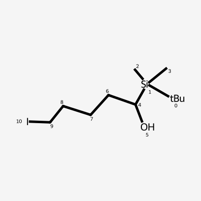 CC(C)(C)[Si](C)(C)C(O)CCCCI